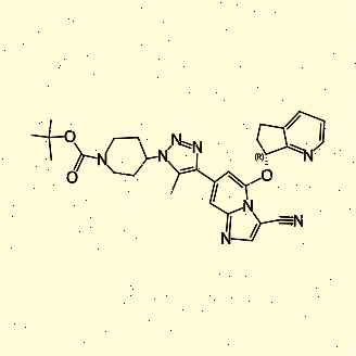 Cc1c(-c2cc(O[C@@H]3CCc4cccnc43)n3c(C#N)cnc3c2)nnn1C1CCN(C(=O)OC(C)(C)C)CC1